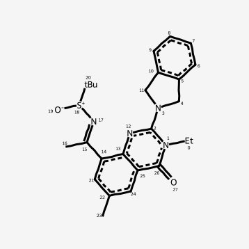 CCn1c(N2Cc3ccccc3C2)nc2c(C(C)=N[S+]([O-])C(C)(C)C)cc(C)cc2c1=O